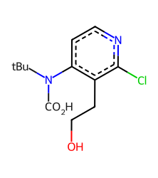 CC(C)(C)N(C(=O)O)c1ccnc(Cl)c1CCO